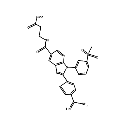 COC(=O)CCNC(=O)c1ccc2c(c1)nc(-c1ccc(C(=N)N)cc1)n2-c1cccc(S(C)(=O)=O)c1